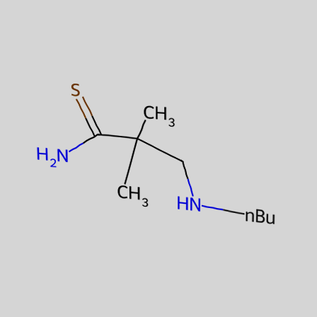 CCCCNCC(C)(C)C(N)=S